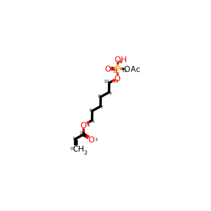 C=CC(=O)OCCCCCCOP(=O)(O)OC(C)=O